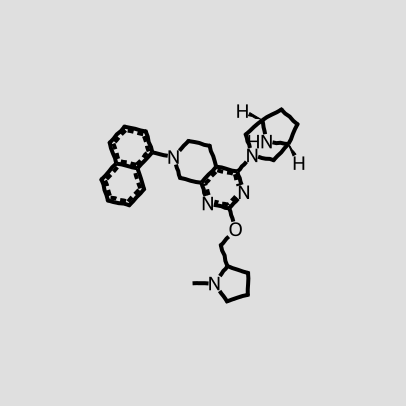 CN1CCCC1COc1nc2c(c(N3C[C@H]4CC[C@@H](C3)N4)n1)CCN(c1cccc3ccccc13)C2